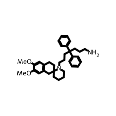 COc1cc2c(cc1OC)CC1(CCCCN1CCCC(CCCN)(c1ccccc1)c1ccccc1)CC2